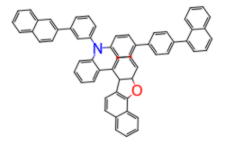 C1=CC2Oc3c(ccc4ccccc34)C2C(c2ccccc2N(c2ccc(-c3ccc(-c4cccc5ccccc45)cc3)cc2)c2cccc(-c3ccc4ccccc4c3)c2)=C1